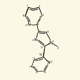 Cn1cc(-c2ccccn2)nc1-c1ccccn1